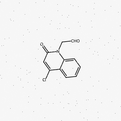 O=CCn1c(=O)cc(Cl)c2ccccc21